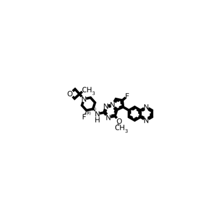 COc1nc(N[C@H]2CCN(C3(C)COC3)C[C@H]2F)nn2cc(F)c(-c3ccc4nccnc4c3)c12